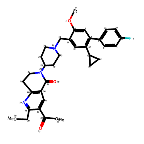 CCOc1cc(-c2ccc(F)cc2)c(C2CC2)cc1CN1CCC(N2CCc3nc(COC)c(C(=O)OC)cc3C2=O)CC1